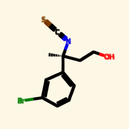 C[C@@](CCO)(N=C=S)c1cccc(Br)c1